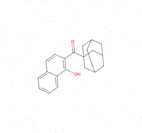 O=C(c1ccc2ccccc2c1O)C12CC3CC(CC(C3)C1)C2